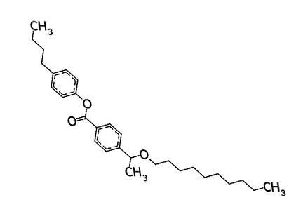 CCCCCCCCCCOC(C)c1ccc(C(=O)Oc2ccc(CCCC)cc2)cc1